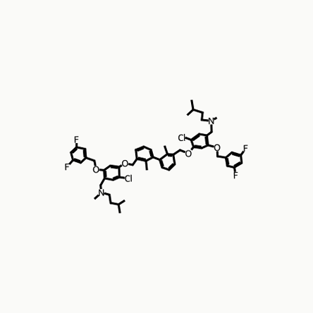 Cc1c(COc2cc(OCc3cc(F)cc(F)c3)c(CN(C)CCC(C)C)cc2Cl)cccc1-c1cccc(COc2cc(OCc3cc(F)cc(F)c3)c(CN(C)CCC(C)C)cc2Cl)c1C